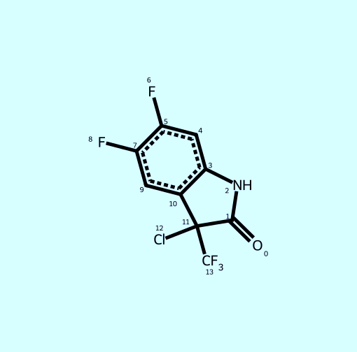 O=C1Nc2cc(F)c(F)cc2C1(Cl)C(F)(F)F